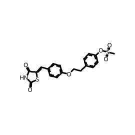 CS(=O)(=O)Oc1ccc(CCOc2ccc(/C=C3\SC(=O)NC3=O)cc2)cc1